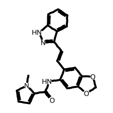 Cn1cccc1C(=O)Nc1cc2c(cc1C=Cc1n[nH]c3ccccc13)OCO2